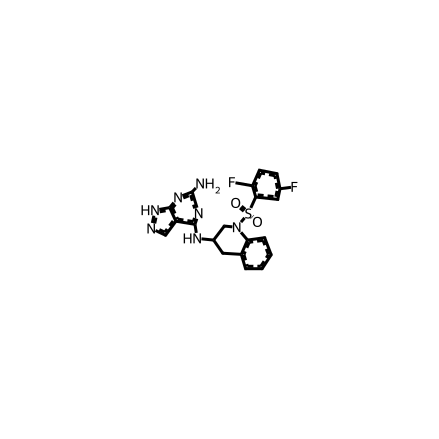 Nc1nc(NC2Cc3ccccc3N(S(=O)(=O)c3cc(F)ccc3F)C2)c2cn[nH]c2n1